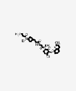 CCCC(=O)N(Br)c1ccc(C=CC(=O)NCC(=O)N(C)c2ccc(Cl)c(COc3cccc4ccc(C)nc34)c2Cl)cc1